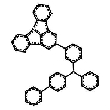 c1ccc(-c2ccc(N(c3ccccc3)c3cccc(-c4cc5c6ccccc6n6c7ccccc7c(c4)c56)c3)cc2)cc1